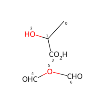 CC(O)C(=O)O.O=COC=O